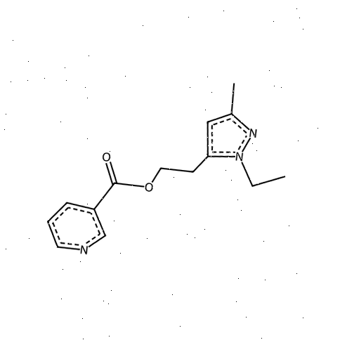 CCn1nc(C)cc1CCOC(=O)c1cccnc1